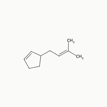 CC(C)=CCC1C=CCC1